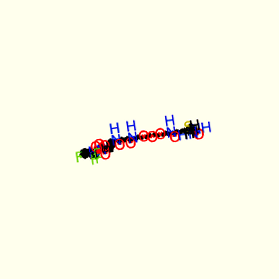 C[C@H](N(Cc1ccc(F)cc1)C(=O)CN1C(=O)O[C@@]2(CCc3cc(NC(=O)CCCC(=O)NCCCOCCOCCOCCCNC(=O)CCCC[C@@H]4SC[C@@H]5NC(=O)N[C@@H]54)ccc32)C1=O)C(F)(F)F